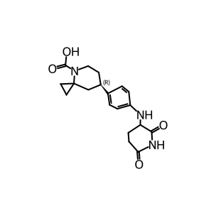 O=C1CCC(Nc2ccc([C@@H]3CCN(C(=O)O)C4(CC4)C3)cc2)C(=O)N1